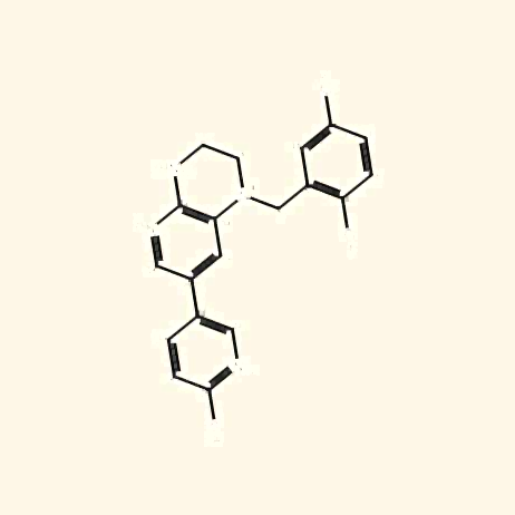 Clc1ccc(Cl)c(CN2CCNc3ncc(-c4ccc(Cl)nc4)cc32)c1